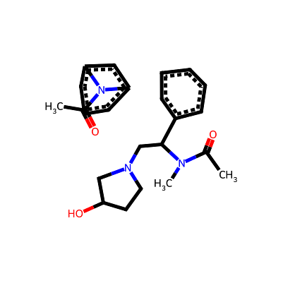 CC(=O)N(C)C(CN1CCC(O)C1)c1ccccc1.CC(=O)N1c2cccc1c2